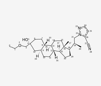 CCOC[C@@]1(O)CC[C@H]2[C@@H](CC[C@@H]3[C@@H]2CC[C@]2(C)[C@@H]([C@H](C)Cn4nccc4C#N)CC[C@@H]32)C1